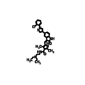 CCN(CC)CCNC(=O)c1c(C)[nH]c(/C=C2\C(=O)Nc3ccc(-c4cnn(-c5ccccc5Cl)c4)cc32)c1C